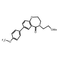 COCCN1CCOc2ccc(-c3ccc(OC(F)(F)F)cc3)cc2C1=O